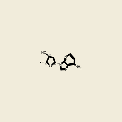 C[C@H]1O[C@@H](n2cnc3c(N)ccnc32)C[C@@H]1O